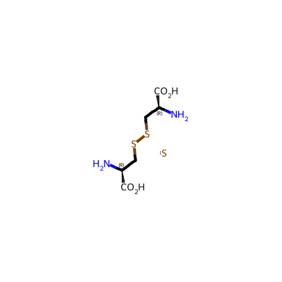 N[C@@H](CSSC[C@H](N)C(=O)O)C(=O)O.[S]